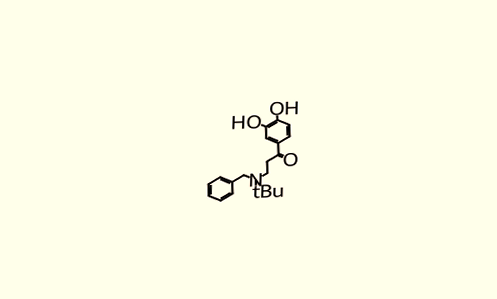 CC(C)(C)N(CCC(=O)c1ccc(O)c(O)c1)Cc1ccccc1